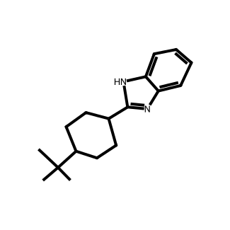 CC(C)(C)C1CCC(c2nc3ccccc3[nH]2)CC1